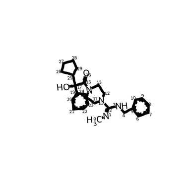 CN=C(NCc1ccccc1)N1CCN(C(=O)C(O)(c2ccccc2)C2CCCC2)CC1